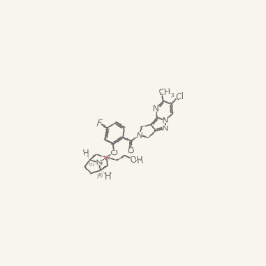 Cc1nc2c3c(nn2cc1Cl)CN(C(=O)c1ccc(F)cc1O[C@H]1C[C@H]2CC[C@@H](C1)N2CCCO)C3